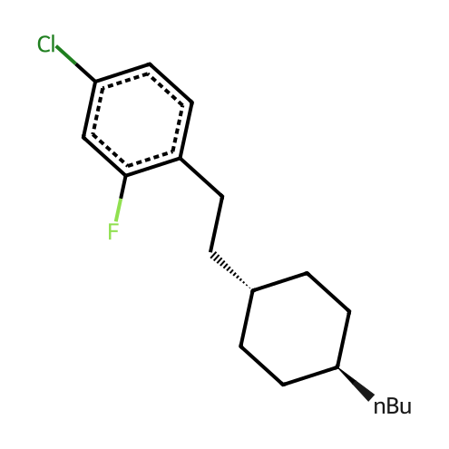 CCCC[C@H]1CC[C@H](CCc2ccc(Cl)cc2F)CC1